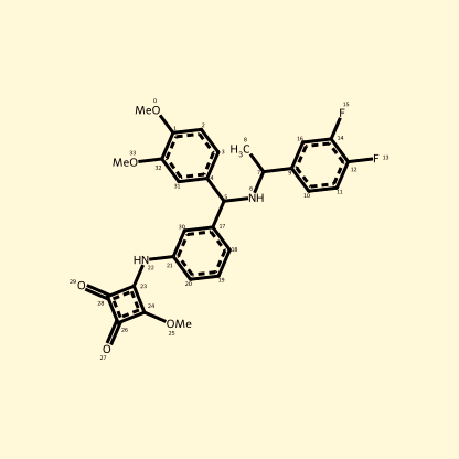 COc1ccc(C(NC(C)c2ccc(F)c(F)c2)c2cccc(Nc3c(OC)c(=O)c3=O)c2)cc1OC